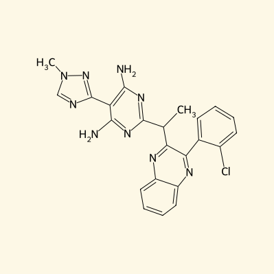 CC(c1nc(N)c(-c2ncn(C)n2)c(N)n1)c1nc2ccccc2nc1-c1ccccc1Cl